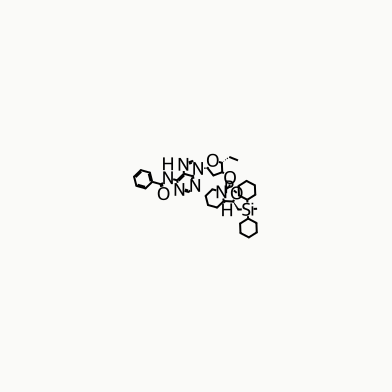 CC[C@H]1O[C@@H](n2cnc3c(NC(=O)c4ccccc4)ncnc32)CC1OP1O[C@@H](C[Si](C)(C2CCCCC2)C2CCCCC2)[C@@H]2CCCCN21